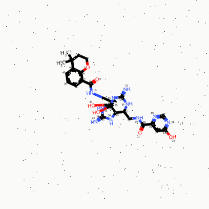 CC1(C)CCOc2c(C(=O)NC3CN4C(=N)NC(CNC(=O)c5cc(O)ncn5)C5NC(=N)NC54C3(O)O)cccc21